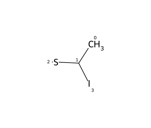 CC([S])I